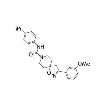 COc1cccc(C2=NOC3(CCN(C(=O)Nc4ccc(C(C)C)cc4)CC3)C2)c1